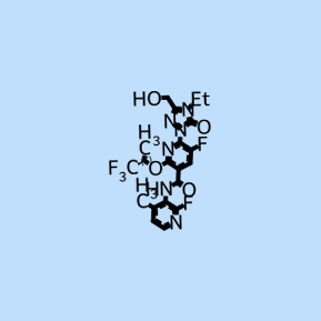 CCn1c(CO)nn(-c2nc(O[C@@H](C)C(F)(F)F)c(C(=O)Nc3c(C)ccnc3F)cc2F)c1=O